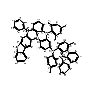 Cc1cc(C)c(N2c3cc(N4c5ccc(C)cc5[Si](c5ccccc5)(c5ccccc5)c5cc(C)ccc54)ccc3B3c4cc5c(cc4N(c4ccccc4)c4cccc2c43)sc2ccccc25)c(C)c1